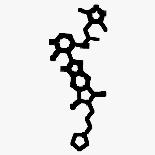 Cc1noc(C)c1CC(C)Nc1cc[nH]c(=O)c1-c1nc2cc3c(cc2[nH]1)C(=O)N(CCCN1CCCC1)C3=O